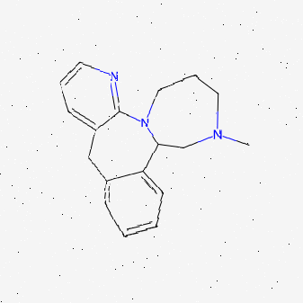 CN1CCCN2c3ncccc3Cc3ccccc3C2C1